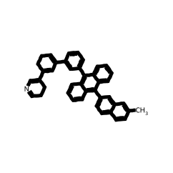 Cc1ccc2ccc(-c3c4ccccc4c(-c4cccc(C5=CCCC(C6=CN=CCC6)=C5)c4)c4ccccc34)cc2c1